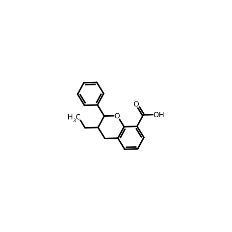 CCC1Cc2cccc(C(=O)O)c2OC1c1ccccc1